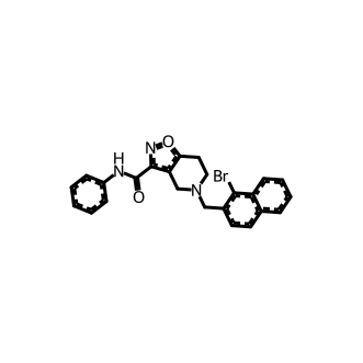 O=C(Nc1ccccc1)c1noc2c1CN(Cc1ccc3ccccc3c1Br)CC2